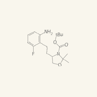 CC(C)(C)OC(=O)N1C(CCc2c(N)cccc2F)COC1(C)C